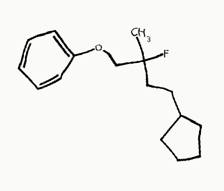 CC(F)(CCC1CCCC1)COc1ccccc1